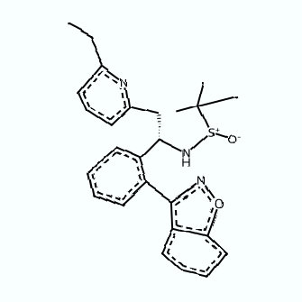 CCc1cccc(C[C@H](N[S+]([O-])C(C)(C)C)c2ccccc2-c2noc3ccccc23)n1